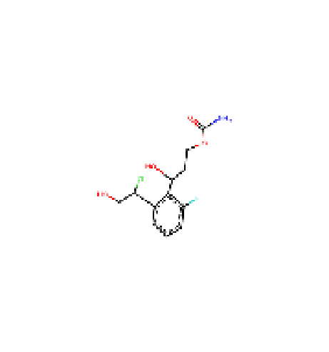 NC(=O)OCCC(O)c1c(F)cccc1C(Cl)CO